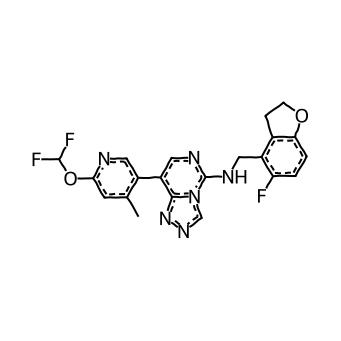 Cc1cc(OC(F)F)ncc1-c1cnc(NCc2c(F)ccc3c2CCO3)n2cnnc12